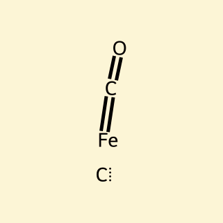 O=[C]=[Fe].[C]